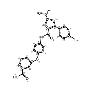 C[S+]([O-])c1nc(C(=O)Nc2ccc(Oc3ccnc(C(=O)O)c3)cc2)c(-c2ccc(F)cc2)s1